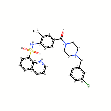 Cc1cc(C(=O)N2CCN(Cc3cccc(Cl)c3)CC2)ccc1NS(=O)(=O)c1cccc2cccnc12